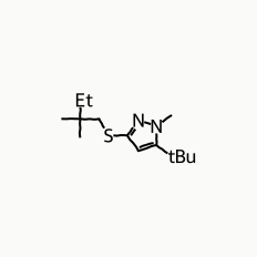 CCC(C)(C)CSc1cc(C(C)(C)C)n(C)n1